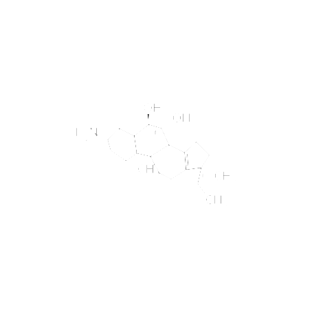 CC[C@]1(C)CCC2=C1CCC1C2[C@@H](O)[C@H](O)C2C[C@@H](N)CC[C@]12C